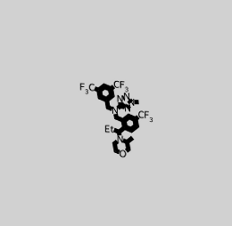 CCC(c1ccc(C(F)(F)F)cc1CN(Cc1cc(C(F)(F)F)cc(C(F)(F)F)c1)c1nnn(C)n1)N1CCOCC1C